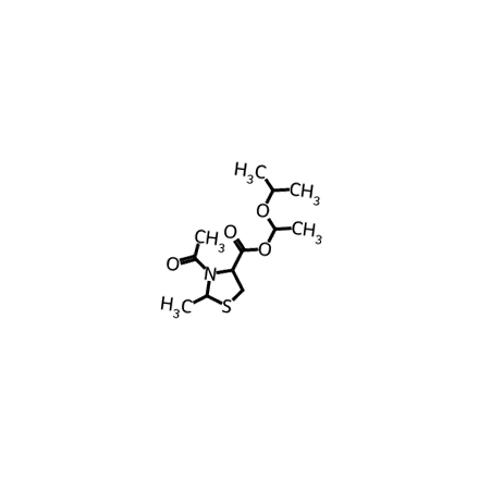 CC(=O)N1C(C)SCC1C(=O)OC(C)OC(C)C